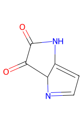 O=C1NC2=CC=NC2C1=O